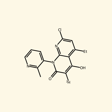 [2H]c1c(O)c2c(CC)cc(Cl)nc2n(-c2cccnc2C)c1=O